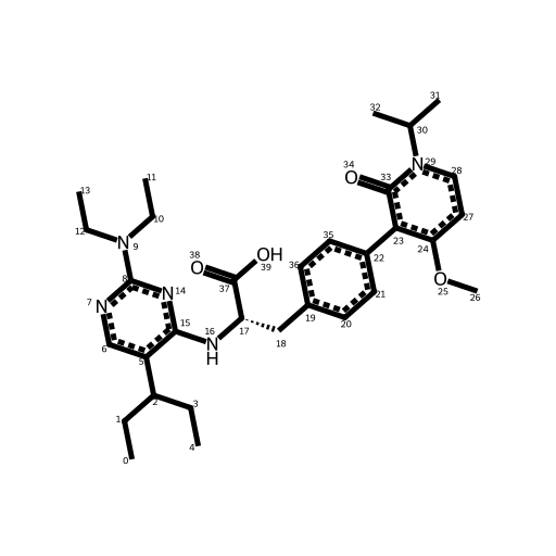 CCC(CC)c1cnc(N(CC)CC)nc1N[C@@H](Cc1ccc(-c2c(OC)ccn(C(C)C)c2=O)cc1)C(=O)O